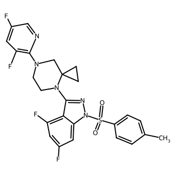 Cc1ccc(S(=O)(=O)n2nc(N3CCN(c4ncc(F)cc4F)CC34CC4)c3c(F)cc(F)cc32)cc1